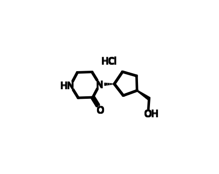 Cl.O=C1CNCCN1[C@@H]1CC[C@@H](CO)C1